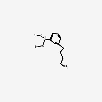 CCO[SiH](OCC)c1cccc(CCCCN)c1